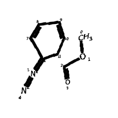 COC=O.[N-]=[N+]=C1C=CC=CC1